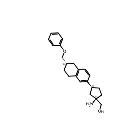 N[C@]1(CO)CC[C@H](c2ccc3c(c2)CC[C@H](COc2ccccc2)C3)C1